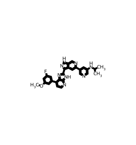 COc1cc(F)cc(-c2ccnc3[nH]c(-c4n[nH]c5cnc(-c6cncc(NC(C)C)c6)cc45)nc23)c1